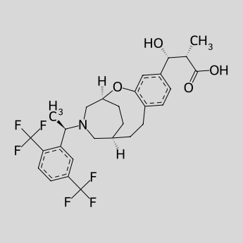 C[C@H](C(=O)O)[C@@H](O)c1ccc2c(c1)O[C@H]1CC[C@@H](CC2)CN([C@H](C)c2cc(C(F)(F)F)ccc2C(F)(F)F)C1